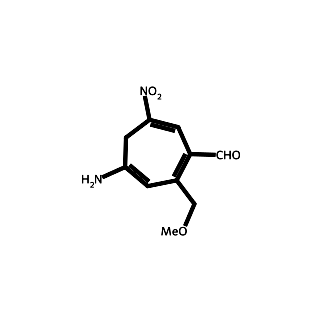 COCC1=C(C=O)C=C([N+](=O)[O-])CC(N)=C1